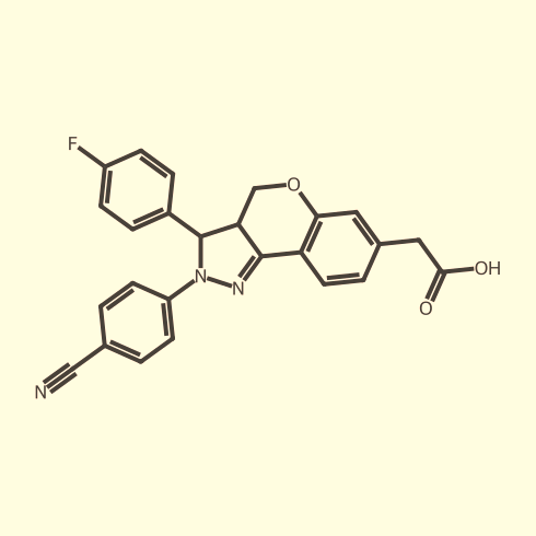 N#Cc1ccc(N2N=C3c4ccc(CC(=O)O)cc4OCC3C2c2ccc(F)cc2)cc1